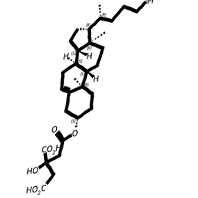 CC(C)CCC[C@@H](C)[C@H]1CC[C@H]2[C@@H]3CC=C4C[C@@H](OC(=O)CC(O)(CC(=O)O)C(=O)O)CC[C@]4(C)[C@H]3CC[C@]12C